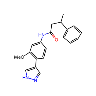 COc1cc(NC(=O)CC(C)c2ccccc2)ccc1-c1cn[nH]c1